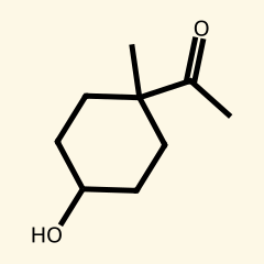 CC(=O)C1(C)CCC(O)CC1